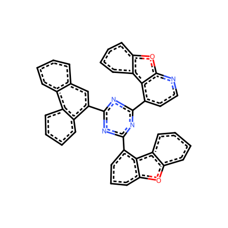 c1ccc2c(c1)cc(-c1nc(-c3cccc4oc5ccccc5c34)nc(-c3ccnc4oc5ccccc5c34)n1)c1ccccc12